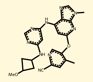 COC1CC(Nc2cc(Nc3cc(Oc4cnc(C#N)cc4C)nc4c3ncn4C)ncn2)C1